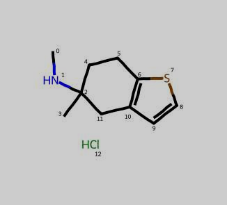 CNC1(C)CCc2sccc2C1.Cl